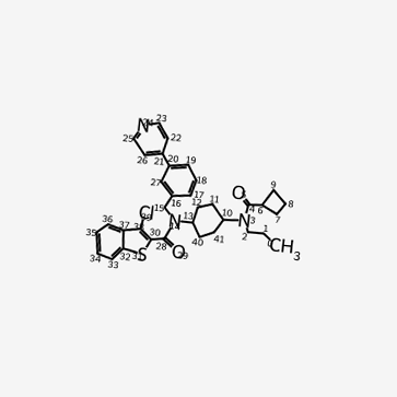 CCCN(C(=O)C1CCC1)C1CCC(N(Cc2cccc(-c3ccncc3)c2)C(=O)c2sc3ccccc3c2Cl)CC1